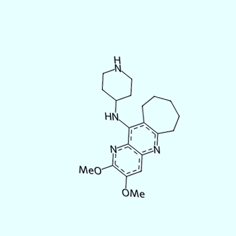 COc1cc2nc3c(c(NC4CCNCC4)c2nc1OC)CCCCC3